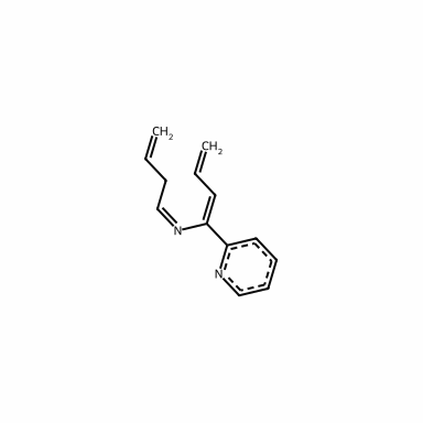 C=C/C=C(\N=C/CC=C)c1ccccn1